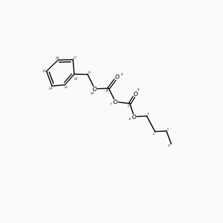 CCCCOC(=O)OC(=O)OCc1ccccc1